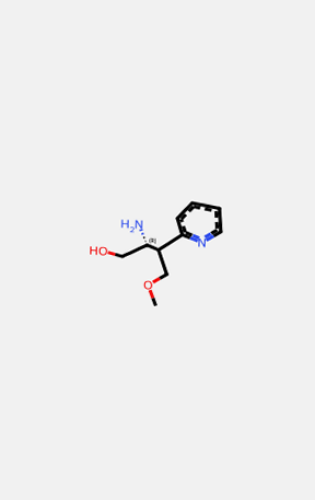 COCC(c1ccccn1)[C@@H](N)CO